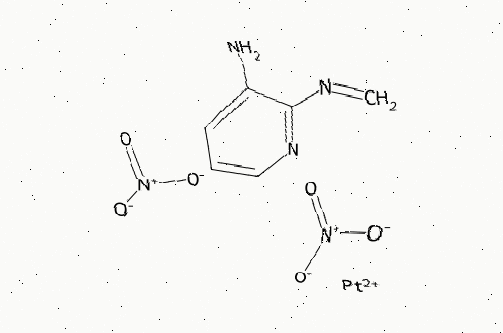 C=Nc1ncccc1N.O=[N+]([O-])[O-].O=[N+]([O-])[O-].[Pt+2]